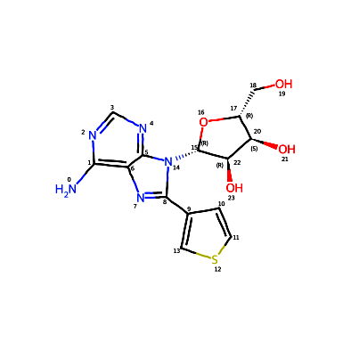 Nc1ncnc2c1nc(-c1ccsc1)n2[C@@H]1O[C@H](CO)[C@@H](O)[C@H]1O